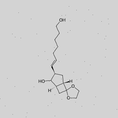 OCCCCCC=C[C@H]1C[C@H]2[C@@H](CC23OCCO3)C1O